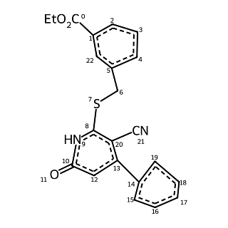 CCOC(=O)c1cccc(CSc2[nH]c(=O)cc(-c3ccccc3)c2C#N)c1